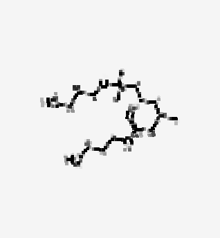 CC(CCCC(C)(C)OCCCO)CC(=O)OCCCO